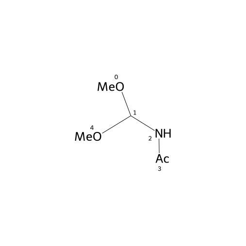 COC(NC(C)=O)OC